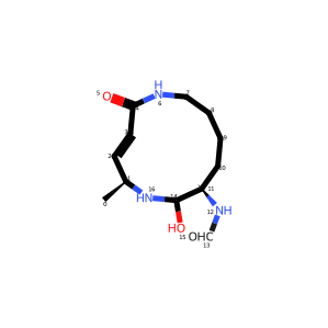 C[C@H]1/C=C/C(=O)NCCCC[C@@H](NC=O)C(O)N1